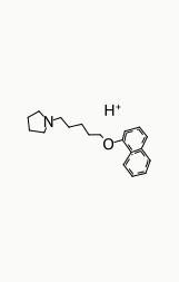 [H+].c1ccc2c(OCCCCCN3CCCC3)cccc2c1